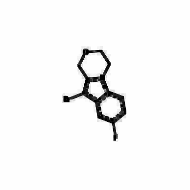 Fc1ccc2c(c1)c(Br)c1n2CCOC1